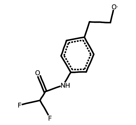 [O]CCc1ccc(NC(=O)C(F)F)cc1